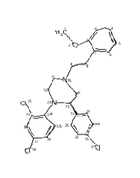 COc1ccccc1CCN1CCN(c2ccc(Cl)cc2Cl)[C@H](c2ccc(Cl)cc2)C1